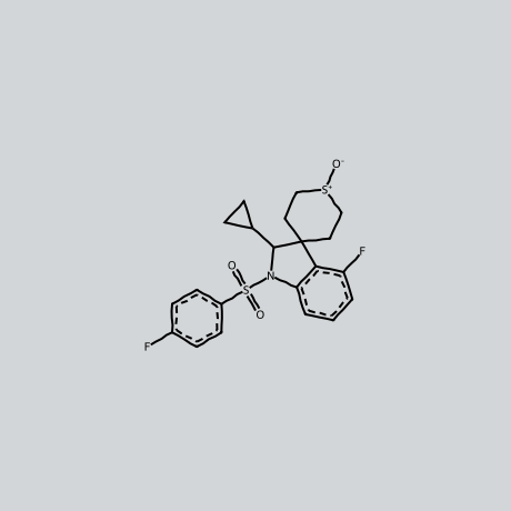 O=S(=O)(c1ccc(F)cc1)N1c2cccc(F)c2C2(CC[S+]([O-])CC2)C1C1CC1